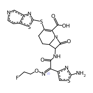 Nc1nc(/C(=N/OCCF)C(=O)NC2C(=O)N3C(C(=O)O)=C(Sc4nc5cnccc5s4)CCC23)cs1